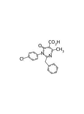 Cc1nc(Cc2ccccc2)n(-c2ccc(Cl)cc2)c(=O)c1C(=O)O